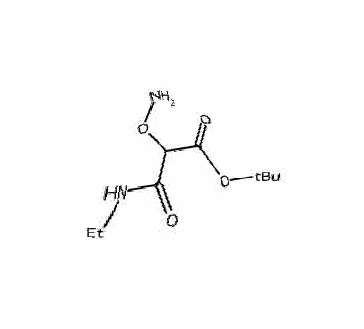 [CH2]CNC(=O)C(ON)C(=O)OC(C)(C)C